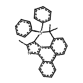 Cc1nc2c3ccccc3c3cccc4c3n2c1S(c1ccccc1)(c1ccccc1)C4(C)C